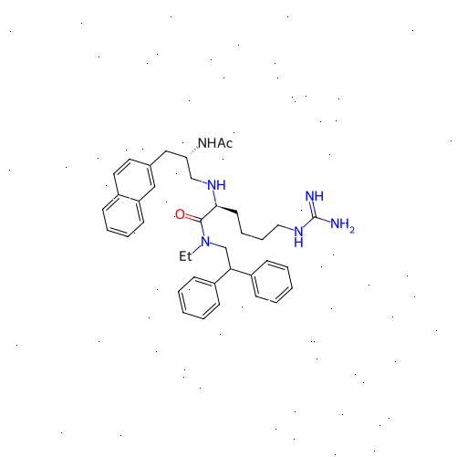 CCN(CC(c1ccccc1)c1ccccc1)C(=O)[C@H](CCCCNC(=N)N)NC[C@H](Cc1ccc2ccccc2c1)NC(C)=O